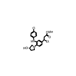 CCC(CC(=O)OC)c1ccc(N2CC[C@H](O)C2)c(Nc2ccc(Cl)cc2)c1